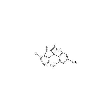 Cc1cc(C)c(C2C(=O)Nc3c(Cl)cccc32)c(C)c1